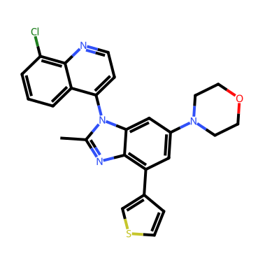 Cc1nc2c(-c3ccsc3)cc(N3CCOCC3)cc2n1-c1ccnc2c(Cl)cccc12